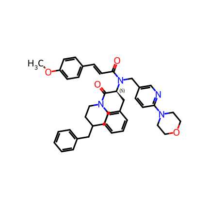 COc1ccc(C=CC(=O)N(Cc2ccc(N3CCOCC3)nc2)[C@@H](Cc2ccccc2)C(=O)N2CCC(Cc3ccccc3)CC2)cc1